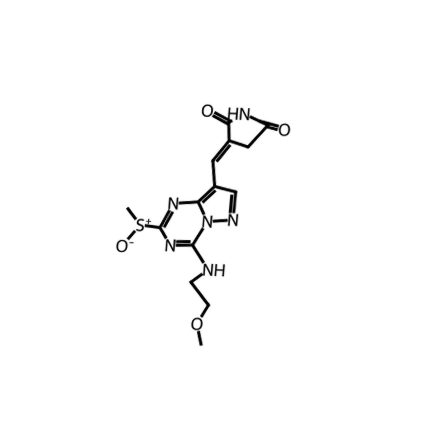 COCCNc1nc([S+](C)[O-])nc2c(/C=C3\CC(=O)NC3=O)cnn12